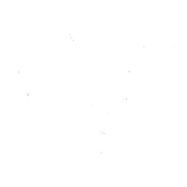 CCC(c1ccc(C(=O)N(C)C2CC2)cc1-c1ccc(C)cc1C(=O)O)c1c[nH]c2cc(C(=N)N)ccc12